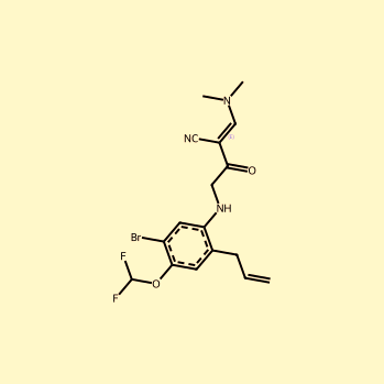 C=CCc1cc(OC(F)F)c(Br)cc1NCC(=O)/C(C#N)=C/N(C)C